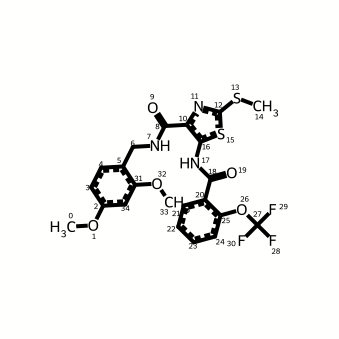 COc1ccc(CNC(=O)c2nc(SC)sc2NC(=O)c2ccccc2OC(F)(F)F)c(OC)c1